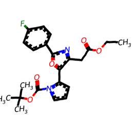 CCOC(=O)Cc1nc(-c2ccc(F)cc2)oc1-c1cccn1C(=O)OC(C)(C)C